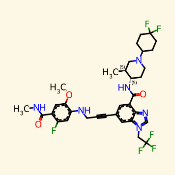 CNC(=O)c1cc(OC)c(NCC#Cc2cc(C(=O)N[C@H]3CCN(C4CCC(F)(F)CC4)C[C@@H]3C)c3ncn(CC(F)(F)F)c3c2)cc1F